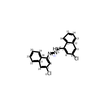 Clc1cc(/N=N/Nc2cc(Cl)cc3ccccc23)c2ccccc2c1